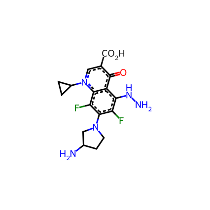 NNc1c(F)c(N2CCC(N)C2)c(F)c2c1c(=O)c(C(=O)O)cn2C1CC1